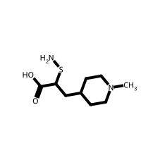 CN1CCC(CC(SN)C(=O)O)CC1